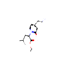 CCOC(=O)C(CC(C)C)n1ccc(CCN)cc1=O